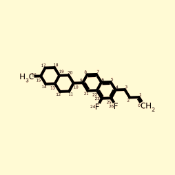 C=CCCc1cc2ccc(C3CCC4CC(C)CCC4C3)cc2c(F)c1F